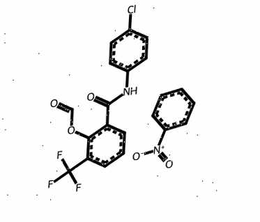 O=COc1c(C(=O)Nc2ccc(Cl)cc2)cccc1C(F)(F)F.O=[N+]([O-])c1ccccc1